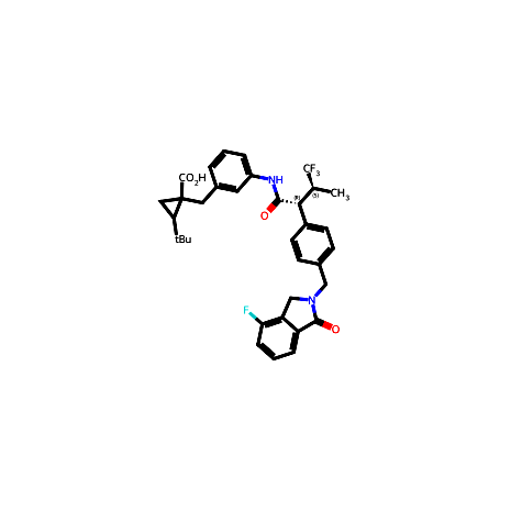 C[C@@H]([C@@H](C(=O)Nc1cccc(CC2(C(=O)O)CC2C(C)(C)C)c1)c1ccc(CN2Cc3c(F)cccc3C2=O)cc1)C(F)(F)F